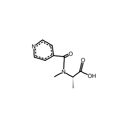 C[C@@H](C(=O)O)N(C)C(=O)c1ccncc1